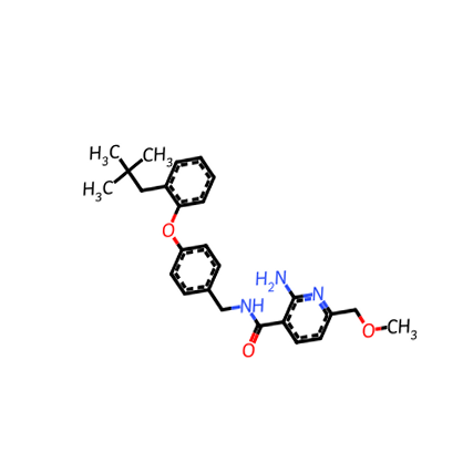 COCc1ccc(C(=O)NCc2ccc(Oc3ccccc3CC(C)(C)C)cc2)c(N)n1